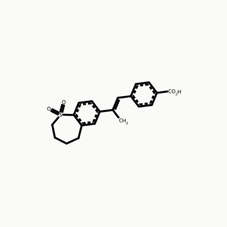 C/C(=C\c1ccc(C(=O)O)cc1)c1ccc2c(c1)CCCCS2(=O)=O